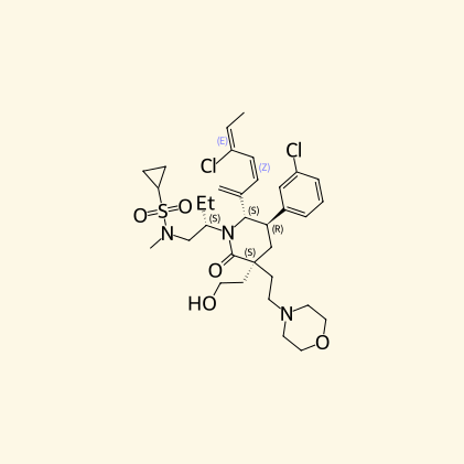 C=C(/C=C\C(Cl)=C/C)[C@@H]1[C@@H](c2cccc(Cl)c2)C[C@@](CCO)(CCN2CCOCC2)C(=O)N1[C@@H](CC)CN(C)S(=O)(=O)C1CC1